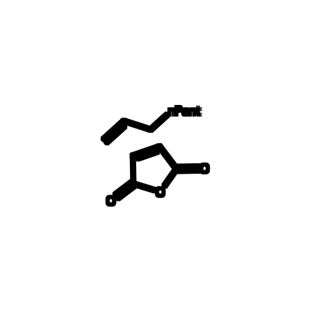 C=CCCCCCC.O=C1C=CC(=O)O1